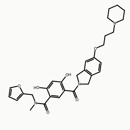 CN(Cc1ccco1)C(=O)c1cc(C(=O)N2Cc3ccc(OCCCN4CCCCC4)cc3C2)c(O)cc1O